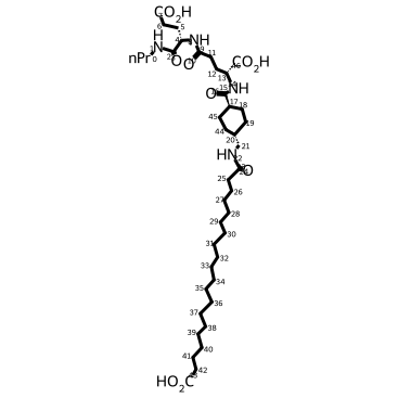 CCCNC(=O)[C@H](CCC(=O)O)NC(=O)CC[C@@H](NC(=O)[C@H]1CC[C@H](CNC(=O)CCCCCCCCCCCCCCCCCCC(=O)O)CC1)C(=O)O